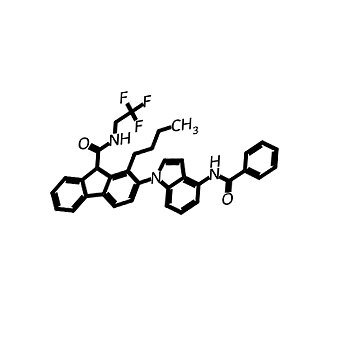 CCCCc1c(-n2ccc3c(NC(=O)c4ccccc4)cccc32)ccc2c1C(C(=O)NCC(F)(F)F)c1ccccc1-2